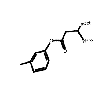 CCCCCCCCC(CCCCCC)CC(=O)Oc1cccc(C)c1